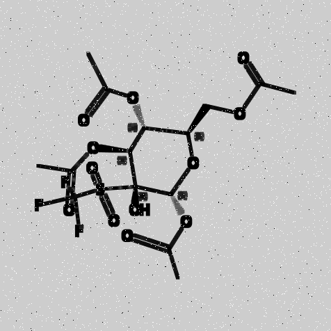 CC(=O)OC[C@H]1O[C@H](OC(C)=O)[C@](O)(S(=O)(=O)C(F)(F)F)[C@@H](OC(C)=O)[C@@H]1OC(C)=O